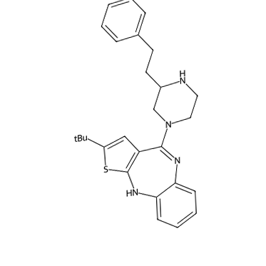 CC(C)(C)c1cc2c(s1)Nc1ccccc1N=C2N1CCNC(CCc2ccccc2)C1